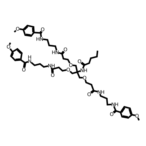 CCCCC(=O)NC(COCCC(=O)NCCCNC(=O)c1ccc(OC)cc1)(COCCC(=O)NCCCNC(=O)c1ccc(OC)cc1)COCCC(=O)NCCCNC(=O)c1ccc(OC)cc1